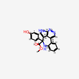 COC(=O)C1(c2ccc(O)cc2)Nc2ccccc2-c2cnnc3[nH]cc1c23